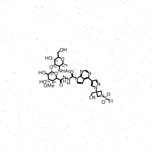 CCS(=O)(=O)N1CC(CC#N)(n2cc(-c3ncnc4c3ccn4C(=O)NNC(=O)C3O[C@@H](O[C@@H]4C(NC(C)=O)[C@H](C)OC(CO)[C@H]4O)C(O)[C@@H](O)[C@@H]3OC)cn2)C1